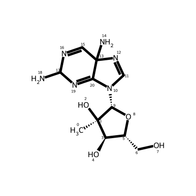 C[C@@]1(O)[C@H](O)[C@@H](CO)O[C@H]1N1C=NC2(N)C=NC(N)N=C12